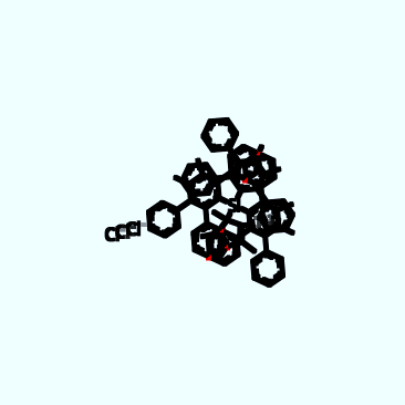 CC1=C(C)C(C)([Si](c2c(-c3ccccc3)c(C)c(C)c(-c3ccccc3)c2-c2ccccc2)(c2c(-c3ccccc3)c(C)c(C)c(-c3ccccc3)c2-c2ccccc2)c2c(-c3ccccc3)c(C)c(C)c(-c3ccccc3)c2-c2ccccc2)[C]([Ti+3])=C1C.[Cl-].[Cl-].[Cl-]